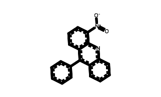 O=[N+]([O-])c1cccc2c(-c3ccccc3)c3ccccc3nc12